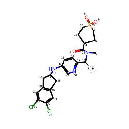 CN(C(=O)C1CCS(=O)(=O)CC1)[C@@H](c1ccc(NC2Cc3cc(Cl)c(Cl)cc3C2)cn1)C(F)(F)F